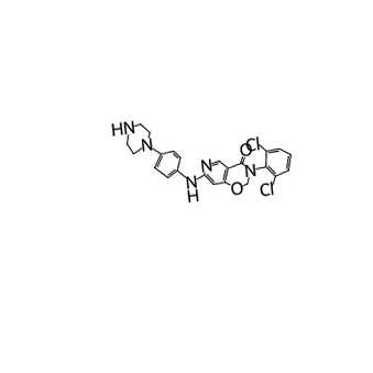 O=C1c2cnc(Nc3ccc(N4CCNCC4)cc3)cc2OCN1c1c(Cl)cccc1Cl